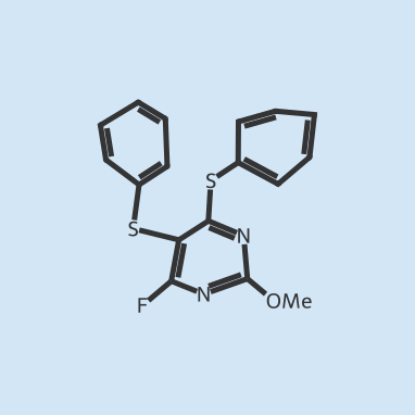 COc1nc(F)c(Sc2ccccc2)c(Sc2ccccc2)n1